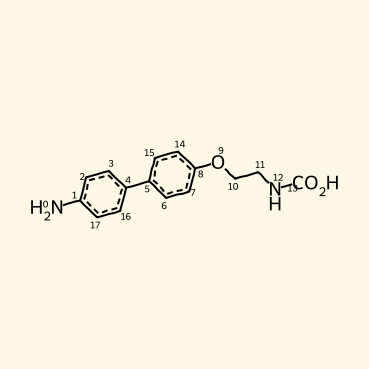 Nc1ccc(-c2ccc(OCCNC(=O)O)cc2)cc1